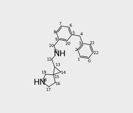 c1ccc(Cc2cccc(CNCC3CC34CCNC4)c2)cc1